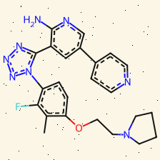 Cc1c(OCCN2CCCC2)ccc(-n2nnnc2-c2cc(-c3ccncc3)cnc2N)c1F